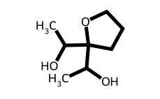 CC(O)C1(C(C)O)CCCO1